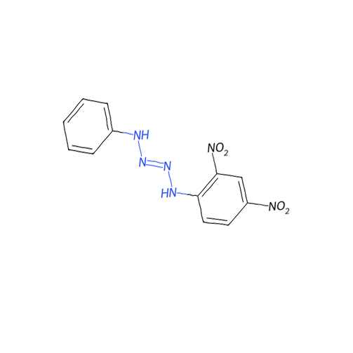 O=[N+]([O-])c1ccc(NN=NNc2ccccc2)c([N+](=O)[O-])c1